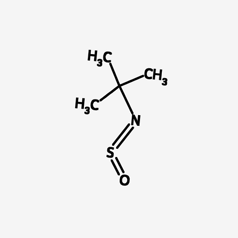 CC(C)(C)N=S=O